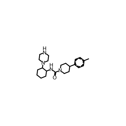 Cc1ccc(C2CCN(C(=O)NC3CCCCC3N3CCNCC3)CC2)cc1